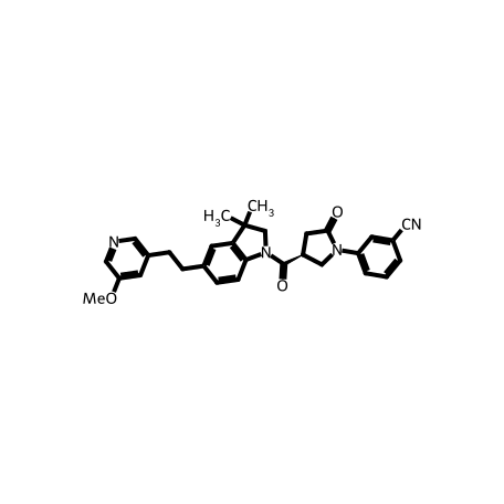 COc1cncc(CCc2ccc3c(c2)C(C)(C)CN3C(=O)[C@H]2CC(=O)N(c3cccc(C#N)c3)C2)c1